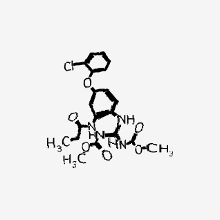 CCC(=O)Nc1cc(Oc2ccccc2Cl)ccc1NC(=NC(=O)OC)NC(=O)OC